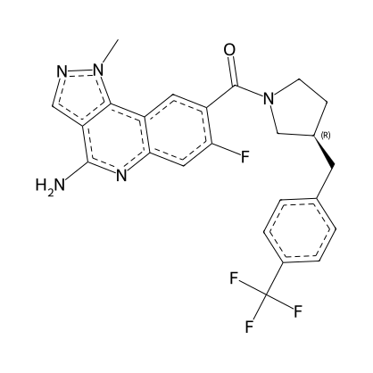 Cn1ncc2c(N)nc3cc(F)c(C(=O)N4CC[C@@H](Cc5ccc(C(F)(F)F)cc5)C4)cc3c21